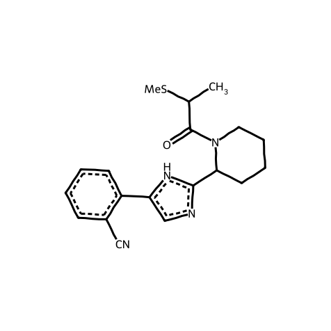 CSC(C)C(=O)N1CCCCC1c1ncc(-c2ccccc2C#N)[nH]1